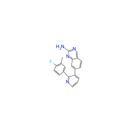 Cc1cc(-c2ncccc2-c2ccc3cnc(N)nc3c2)ccc1F